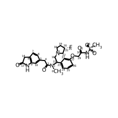 CN(C(=O)Cc1ccc2c(c1)NC(=O)C2)C(CN1CC[C@H](F)C1)c1cccc(OCC(=O)NS(C)(=O)=O)c1